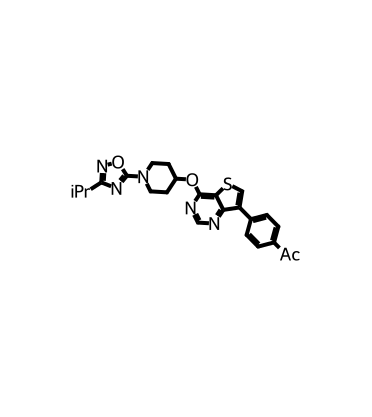 CC(=O)c1ccc(-c2csc3c(OC4CCN(c5nc(C(C)C)no5)CC4)ncnc23)cc1